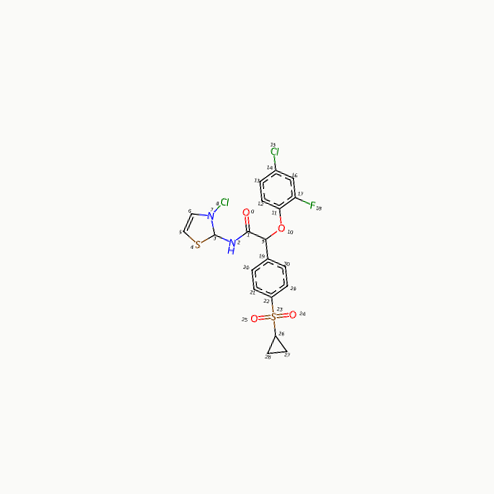 O=C(NC1SC=CN1Cl)C(Oc1ccc(Cl)cc1F)c1ccc(S(=O)(=O)C2CC2)cc1